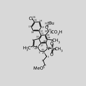 COCCC[C@H]1Cn2c(C)cc3c(-c4ccc(Cl)cc4)c([C@H](OC(C)(C)C)C(=O)O)c(C)c(c32)N1S(C)(=O)=O